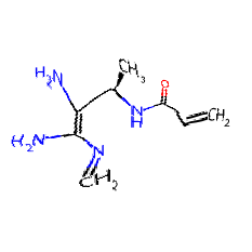 C=CC(=O)N[C@H](C)/C(N)=C(/N)N=C